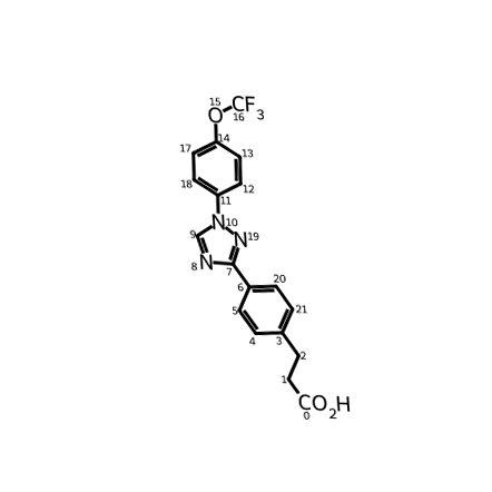 O=C(O)CCc1ccc(-c2ncn(-c3ccc(OC(F)(F)F)cc3)n2)cc1